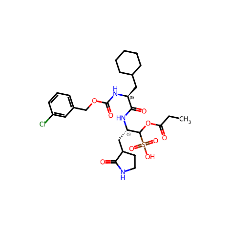 CCC(=O)OC([C@H](CC1CCNC1=O)NC(=O)[C@H](CC1CCCCC1)NC(=O)OCc1cccc(Cl)c1)S(=O)(=O)O